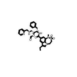 CCc1cn2c3c(cc(C(=O)N[C@@H](Cc4ccccc4)[C@@H](CNCc4ccccn4)OC=O)cc13)N(C)S(=O)(=O)CC2